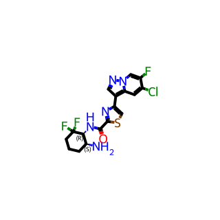 N[C@H]1CCCC(F)(F)[C@@H]1NC(=O)c1nc(-c2cnn3cc(F)c(Cl)cc23)cs1